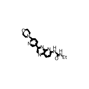 CCNC(=O)Nc1ccc2ncc(-c3ccc(N4CCOCC4)nc3)nc2n1